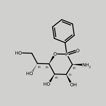 N[C@H]1[C@@H](O)[C@@H](O)[C@@H]([C@H](O)CO)OP1(=O)c1ccccc1